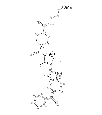 COCCCNC(=O)C1CCN(C(=O)c2[nH]c(C)c(-c3nc4cc(C(=O)c5ccccc5)ccc4[nH]3)c2C)CC1